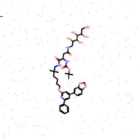 CC(C)(CCCCOc1cc(-c2ccc3c(c2)OCO3)cc(-c2ccccc2)n1)CNC(=O)C(CC(=O)NCC(O)C(O)C(O)C(O)CO)NC(=O)OC(C)(C)C